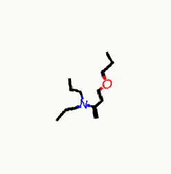 C=C(CCOCCC)N(CCC)CCC